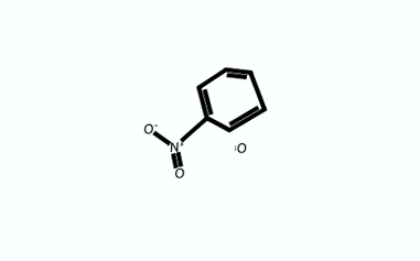 O=[N+]([O-])c1ccccc1.[O]